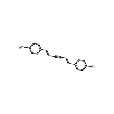 CCCc1ccc(C=CC#CC=Cc2ccc(CC)cc2)cc1